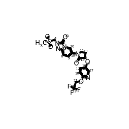 CS(=O)(=O)Cn1nc2ccc(N3CC[C@@H](Oc4ccc(OCC(F)(F)F)nc4)C3=O)cn2c1=O